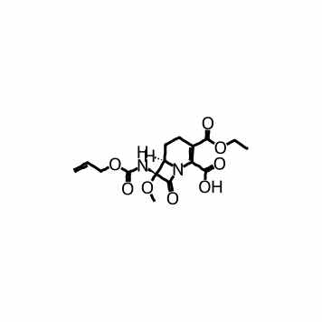 C=CCOC(=O)N[C@]1(OC)C(=O)N2C(C(=O)O)=C(C(=O)OCC)CC[C@@H]21